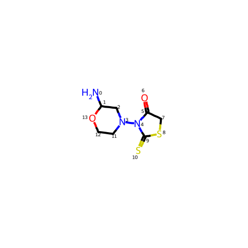 NC1CN(N2C(=O)CSC2=S)CCO1